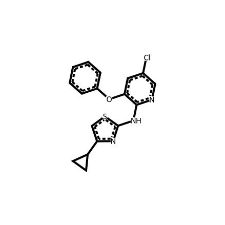 Clc1cnc(Nc2nc(C3CC3)cs2)c(Oc2ccccc2)c1